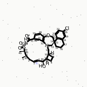 C[C@@H]1C/C=C/[C@H](O)[C@@H]2CC[C@H]2CN2C[C@@]3(CCCc4cc(Cl)ccc43)COc3ccc(cc32)C(=O)NS(=O)(=O)[C@@H]1C